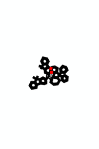 CC1(C)c2ccccc2-c2ccc(N(C3=CC=CCC4=C3c3ccccc3C4(c3ccccc3)c3ccccc3)c3ccc4c(c3)C(C)(C)c3ccccc3-4)cc21